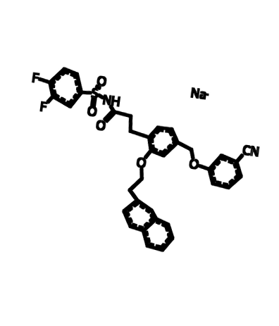 N#Cc1cccc(OCc2ccc(CCC(=O)NS(=O)(=O)c3ccc(F)c(F)c3)c(OCCc3ccc4ccccc4c3)c2)c1.[Na]